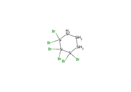 Br[Si]1(Br)[SiH2][SiH2][SiH2][Si](Br)(Br)[Si]1(Br)Br